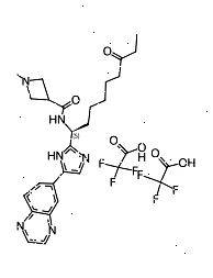 CCC(=O)CCCCC[C@H](NC(=O)C1CN(C)C1)c1ncc(-c2ccc3nccnc3c2)[nH]1.O=C(O)C(F)(F)F.O=C(O)C(F)(F)F